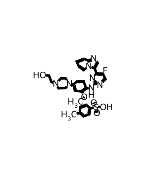 COc1cc(N2CCN(CCO)CC2)ccc1Nc1ncc(F)c(-c2cnc3ccccn23)n1.Cc1ccc(S(=O)(=O)O)cc1